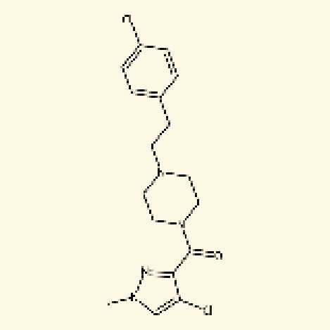 Cn1cc(Cl)c(C(=O)N2CCN(CCc3ccc(Cl)cc3)CC2)n1